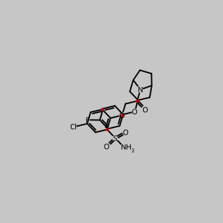 NS(=O)(=O)c1cc(Cl)ccc1OCC(=O)N1C2CCC1CC(Oc1ccc(F)cc1)C2